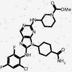 COC(=O)N1CCCC(Nc2ncc3nc(Nc4c(F)cc(F)cc4Cl)n(C4CCC(C(N)=O)CC4)c3n2)C1